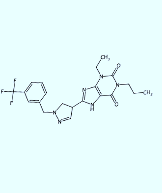 CCCn1c(=O)c2[nH]c(C3C=NN(Cc4cccc(C(F)(F)F)c4)C3)nc2n(CC)c1=O